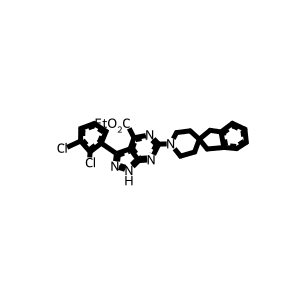 CCOC(=O)c1nc(N2CCC3(CC2)Cc2ccccc2C3)nc2[nH]nc(-c3cccc(Cl)c3Cl)c12